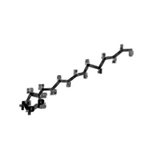 CCCCCCCCCCCCC1=C[N]P=P1